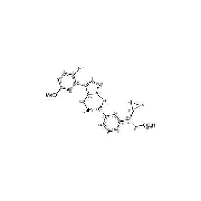 COc1ccc(F)c(-n2cnc(COc3cccc([C@@H](CC(=O)O)C4CC4)c3)c2CC(C)C)c1